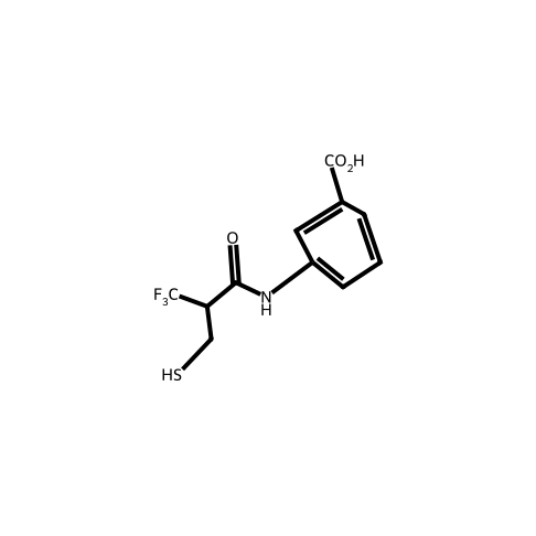 O=C(O)c1cccc(NC(=O)C(CS)C(F)(F)F)c1